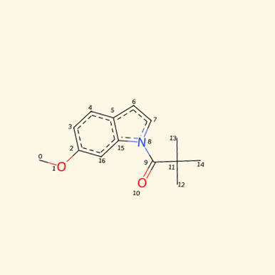 COc1ccc2ccn(C(=O)C(C)(C)C)c2c1